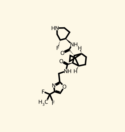 CC(F)(F)c1coc(CNC(=O)[C@H]2[C@H](C(=O)N[C@@H]3CCNC[C@H]3F)[C@H]3CC[C@@H]2C32CC2)n1